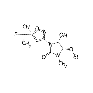 CCO[C@@H]1C(O)N(c2cc(C(C)(C)F)on2)C(=O)N1C